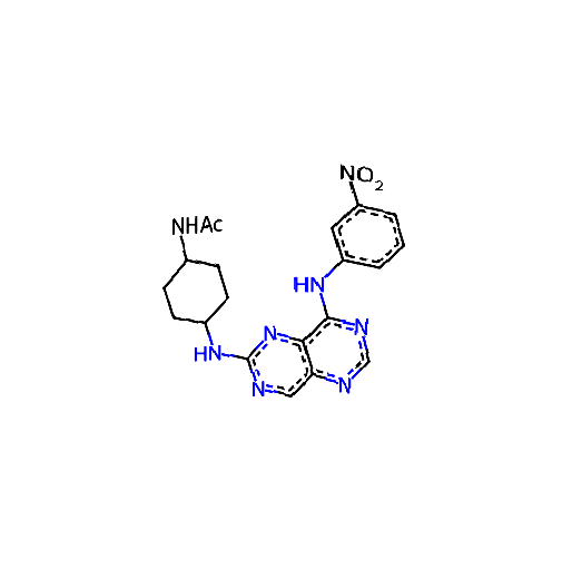 CC(=O)NC1CCC(Nc2ncc3ncnc(Nc4cccc([N+](=O)[O-])c4)c3n2)CC1